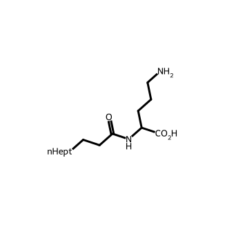 CCCCCCCCCC(=O)NC(CCCN)C(=O)O